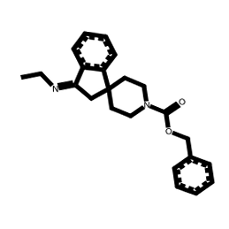 CC/N=C1/CC2(CCN(C(=O)OCc3ccccc3)CC2)c2ccccc21